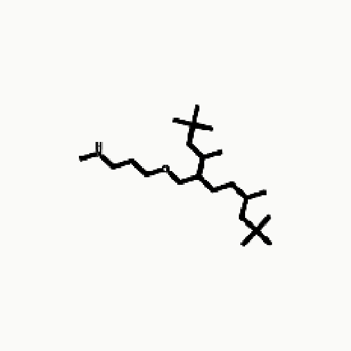 CNCCCOCC(CCC(C)CC(C)(C)C)C(C)CC(C)(C)C